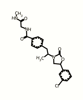 CNC(=O)CNC(=O)c1ccc(CC(C)N2CC(c3cccc(Cl)c3)OC2=O)cc1